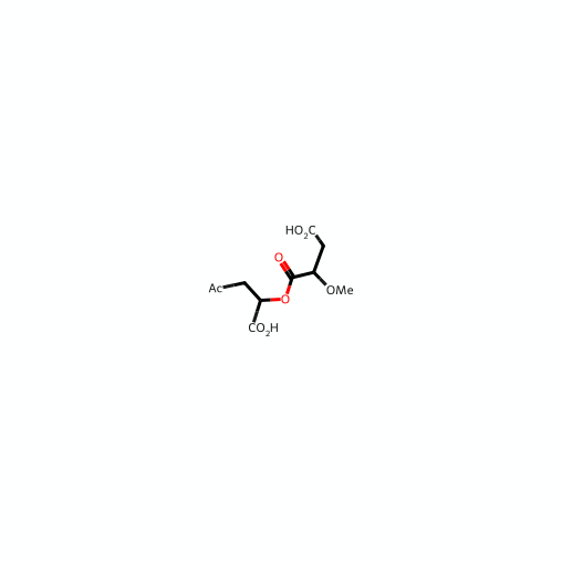 COC(CC(=O)O)C(=O)OC(CC(C)=O)C(=O)O